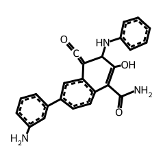 NC(=O)C1=C(O)C(Nc2ccccc2)C(=C=O)c2cc(-c3cccc(N)c3)ccc21